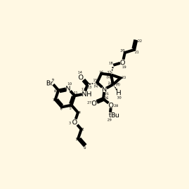 C=CCOCc1ccc(Br)nc1NC(=O)[C@@H]1C[C@@]2(COCC=C)C[C@H]2N1C(=O)OC(C)(C)C